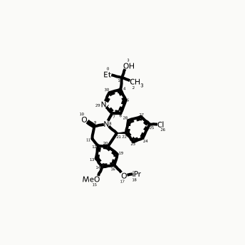 CCC(C)(O)c1ccc(N2C(=O)Cc3cc(OC)c(OC(C)C)cc3[C@@H]2c2ccc(Cl)cc2)nc1